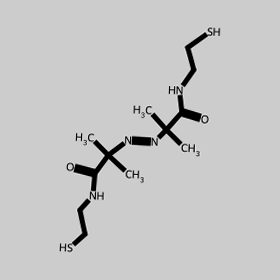 CC(C)(N=NC(C)(C)C(=O)NCCS)C(=O)NCCS